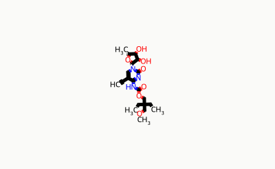 C#Cc1cn([C@@H]2O[C@H](C)C(O)C2O)c(=O)nc1NC(=O)OCC(CC)(CC)COC